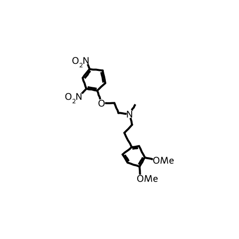 COc1ccc(CCN(C)CCOc2ccc([N+](=O)[O-])cc2[N+](=O)[O-])cc1OC